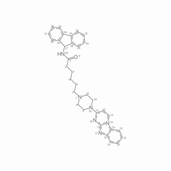 O=C(CCCCCN1CCN(c2ccn3c(n2)nc2ccccc23)CC1)NC1c2ccccc2-c2ccccc21